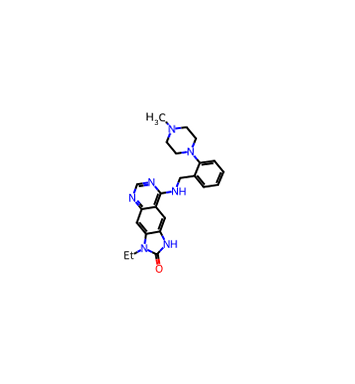 CCn1c(=O)[nH]c2cc3c(NCc4ccccc4N4CCN(C)CC4)ncnc3cc21